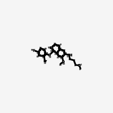 COCCCNc1cc2ncnc(Oc3ccc(F)cc3Br)c2cc1OC